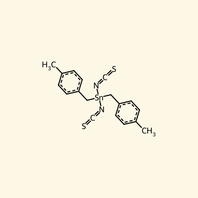 Cc1ccc([CH2][Sn]([CH2]c2ccc(C)cc2)([N]=C=S)[N]=C=S)cc1